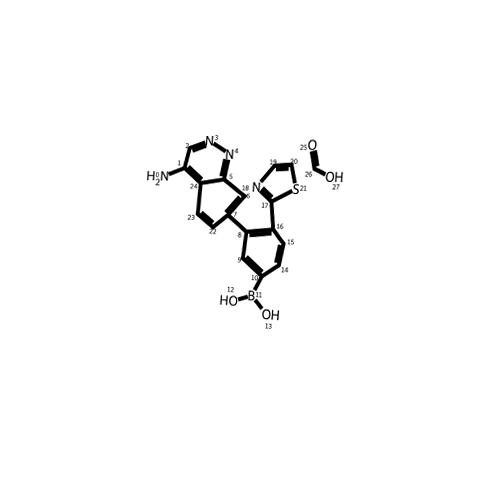 Nc1cnnc2cc(-c3cc(B(O)O)ccc3-c3nccs3)ccc12.O=CO